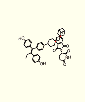 CCC(=C(c1ccc(O)cc1)c1ccc(N2CCC(CN3CC4CC(C3)N4c3ccc4c(c3)C(=O)N(C3CCC(=O)NC3=O)C4=O)CC2)cc1)c1ccc(O)cc1